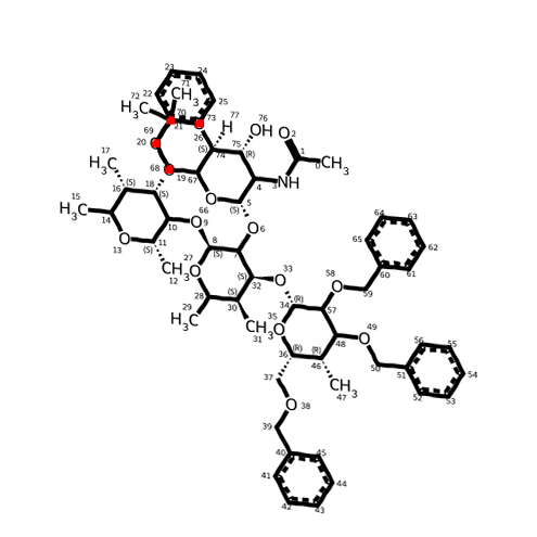 CC(=O)NC1[C@H](OC2[C@H](OC3[C@H](C)OC(C)[C@H](C)[C@@H]3OCc3ccccc3)OC(C)[C@H](C)[C@@H]2O[C@H]2O[C@@H](COCc3ccccc3)[C@@H](C)C(OCc3ccccc3)C2OCc2ccccc2)OC2COC(C)(C)O[C@H]2[C@@H]1O